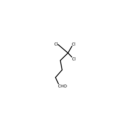 O=[C]CCCC(Cl)(Cl)Cl